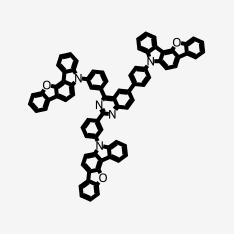 c1cc(-c2nc(-c3cccc(-n4c5ccccc5c5c6oc7ccccc7c6ccc54)c3)c3cc(-c4ccc(-n5c6ccccc6c6c7oc8ccccc8c7ccc65)cc4)ccc3n2)cc(-n2c3ccccc3c3c4oc5ccccc5c4ccc32)c1